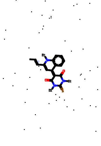 C/C=C/C1=CC(=C2C(=O)N(CC)C(=S)N(CC)C2=O)c2ccccc2N1CC